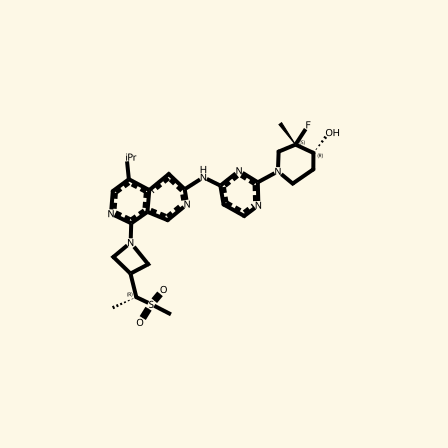 CC(C)c1cnc(N2CC([C@@H](C)S(C)(=O)=O)C2)c2cnc(Nc3ccnc(N4CC[C@@H](O)[C@@](C)(F)C4)n3)cc12